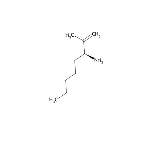 C=C(C)[C@@H](N)CCCCC